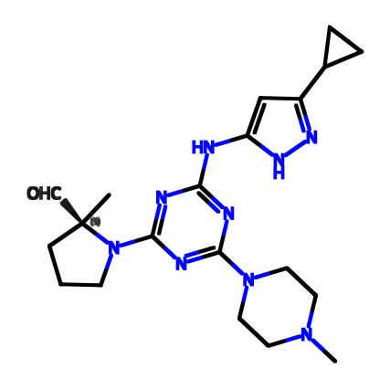 CN1CCN(c2nc(Nc3cc(C4CC4)n[nH]3)nc(N3CCC[C@@]3(C)C=O)n2)CC1